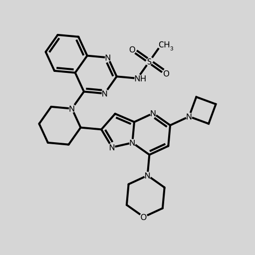 CS(=O)(=O)Nc1nc(N2CCCCC2c2cc3nc(N4CCC4)cc(N4CCOCC4)n3n2)c2ccccc2n1